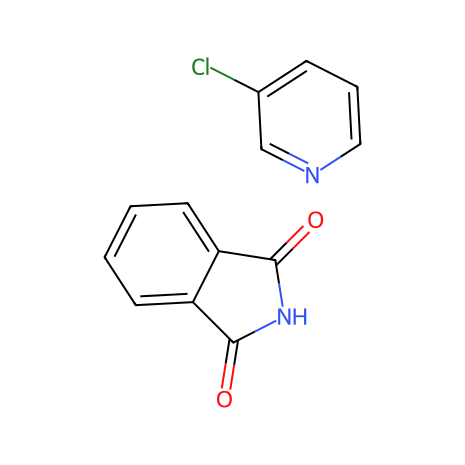 Clc1cccnc1.O=C1NC(=O)c2ccccc21